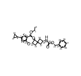 CCOC(=O)c1sc(C2CC2)nc1O[C@H]1CC2(C[C@H](NC(=O)OCc3ccccc3)C2)C1